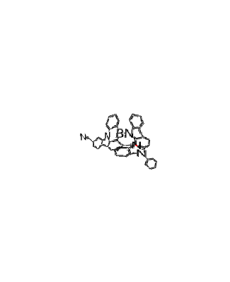 N#Cc1ccc2c3ccc(C#N)c4c3n(c2c1)-c1ccccc1B4n1c2ccccc2c2ccc3c(c4ccccc4n3-c3ccccc3)c21